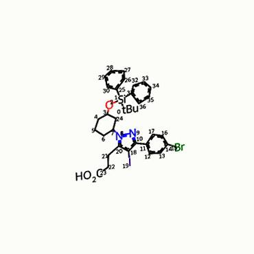 CC(C)(C)[Si](OC1CCCC(n2nc(-c3ccc(Br)cc3)c(I)c2CCC(=O)O)C1)(c1ccccc1)c1ccccc1